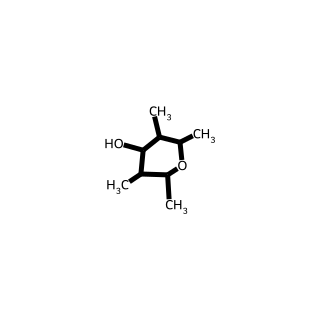 CC1OC(C)C(C)C(O)C1C